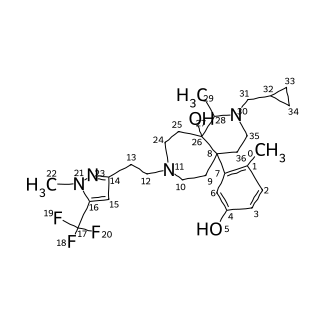 Cc1ccc(O)cc1C12CCN(CCc3cc(C(F)(F)F)n(C)n3)CCC1(O)C(C)N(CC1CC1)CC2